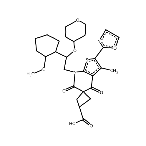 COC1CCCCC1C(CN1C(=O)C2(CC(C(=O)O)C2)C(=O)c2c1sc(-c1ncco1)c2C)OC1CCOCC1